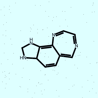 C1=CC2NCNC2=C2N=CC=NC=C12